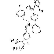 CCOC(=O)c1sc2ccc(SN(CCc3ccc(Cl)cc3)c3ccccc3N3CCN(C(=O)c4sccc4Br)CC3)cc2c1C